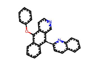 c1ccc(Oc2c3ccccc3c(-c3ccc4ccccc4n3)c3cnccc23)cc1